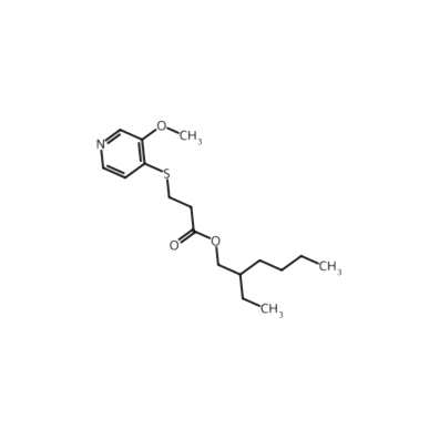 CCCCC(CC)COC(=O)CCSc1ccncc1OC